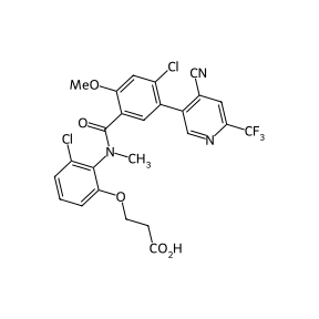 COc1cc(Cl)c(-c2cnc(C(F)(F)F)cc2C#N)cc1C(=O)N(C)c1c(Cl)cccc1OCCC(=O)O